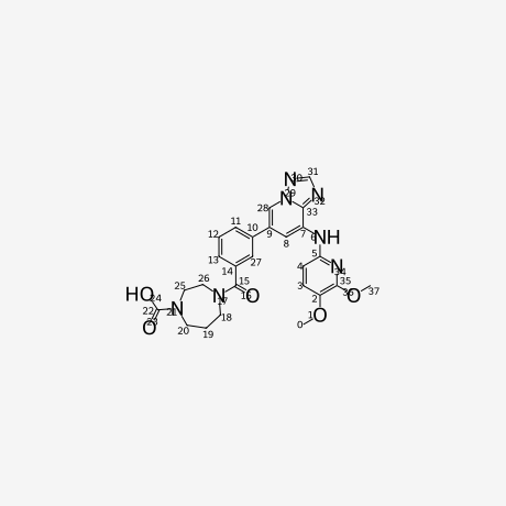 COc1ccc(Nc2cc(-c3cccc(C(=O)N4CCCN(C(=O)O)CC4)c3)cn3ncnc23)nc1OC